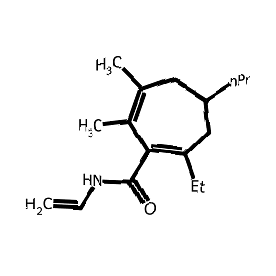 C=CNC(=O)C1=C(CC)CC(CCC)CC(C)=C1C